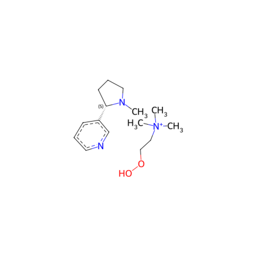 CN1CCC[C@H]1c1cccnc1.C[N+](C)(C)CCOO